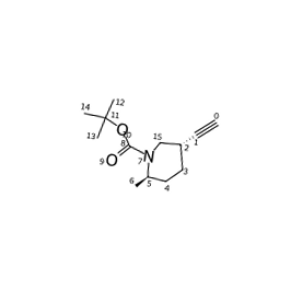 C#C[C@@H]1CC[C@@H](C)N(C(=O)OC(C)(C)C)C1